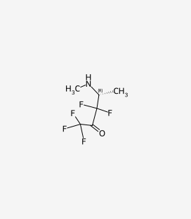 CN[C@H](C)C(F)(F)C(=O)C(F)(F)F